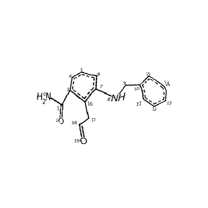 NC(=O)c1cccc(NCc2ccccc2)c1CC=O